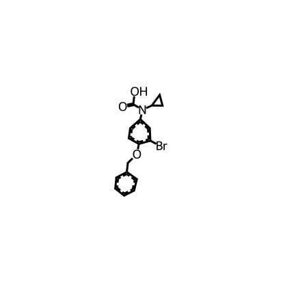 O=C(O)N(c1ccc(OCc2ccccc2)c(Br)c1)C1CC1